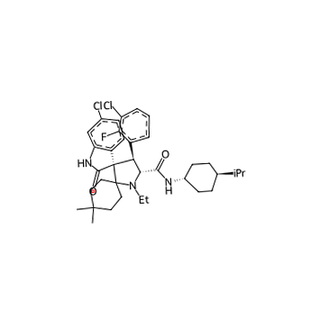 CCN1[C@@H](C(=O)N[C@H]2CC[C@H](C(C)C)CC2)[C@H](c2cccc(Cl)c2F)[C@]2(C(=O)Nc3cc(Cl)ccc32)C12CCC(C)(C)CC2